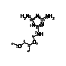 COCC(C)OCNc1nc(N)nc(N)n1